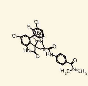 CN(C)C(=O)c1ccc(NC(=O)[C@H]2CC3(C(=O)Nc4cc(Cl)cc(-c5cccc(Cl)c5F)c43)[C@H](CC(C)(C)C)N2)cc1